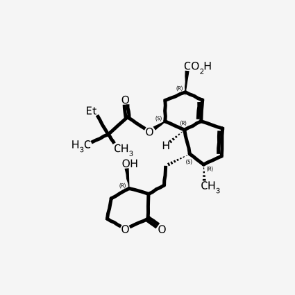 CCC(C)(C)C(=O)O[C@H]1C[C@@H](C(=O)O)C=C2C=C[C@H](C)[C@H](CCC3C(=O)OCC[C@H]3O)[C@H]21